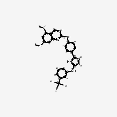 COc1cc(SC)cc2nc(Nc3ccc(-c4nnc(Nc5cccc(C(F)(F)F)c5)[nH]4)cc3)ncc12